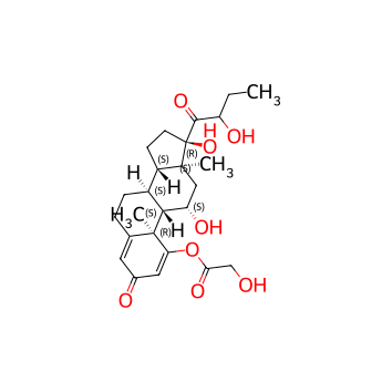 CCC(O)C(=O)[C@@]1(O)CC[C@H]2[C@@H]3CCC4=CC(=O)C=C(OC(=O)CO)[C@]4(C)[C@H]3[C@@H](O)C[C@@]21C